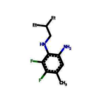 CCC(CC)CNc1c(N)cc(C)c(F)c1F